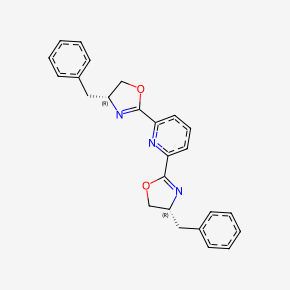 c1ccc(C[C@@H]2COC(c3cccc(C4=N[C@H](Cc5ccccc5)CO4)n3)=N2)cc1